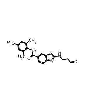 Cc1cc(C)c(NC(=O)c2ccc3nc(NCCC=O)sc3c2)c(C)c1